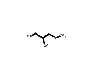 COCC(O)CN